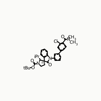 CC(C)C1N(C(=O)OC(C)(C)C)CC[C@@]12C(=O)N(c1cccc(-c3ccc(C(=O)N(C)C)c(Cl)c3)c1)c1ccccc12